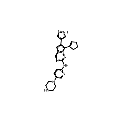 C1=C(c2c(-c3cn[nH]c3)cc3cnc(Nc4ccc(N5CCNCC5)cn4)nn23)CCC1